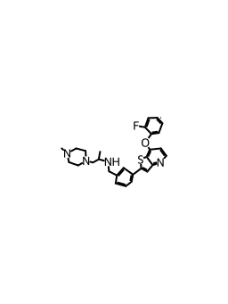 CC(CN1CCN(C)CC1)NCc1cccc(-c2cc3nccc(Oc4cc[c]cc4F)c3s2)c1